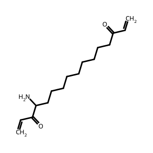 C=CC(=O)CCCCCCCCCC(N)C(=O)C=C